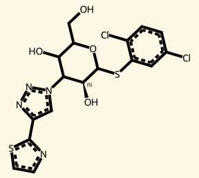 OCC1OC(Sc2cc(Cl)ccc2Cl)[C@@H](O)C(n2cc(-c3nccs3)nn2)C1O